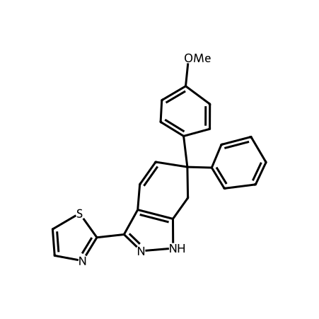 COc1ccc(C2(c3ccccc3)C=Cc3c(-c4nccs4)n[nH]c3C2)cc1